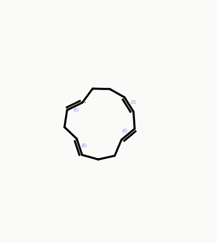 [C]1=C/C/C=C/CC/C=C/C=C\CC/1